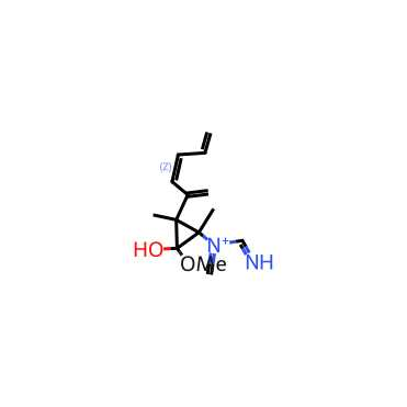 C=C/C=C\C(=C)C1(C)C(O)(OC)C1(C)[N+](=C)C=N